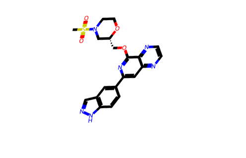 CS(=O)(=O)N1CCO[C@H](COc2nc(-c3ccc4[nH]ncc4c3)cc3nccnc23)C1